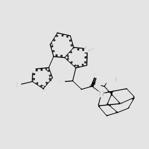 CC(CC(=O)N1C2CC3CC(C2)C(C(O)O)C1C3)c1c[nH]c2cccc(-c3ccc(F)s3)c12